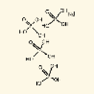 O=P(O)(O)O.O=P(O)(O)O.O=P(O)(O)O.O=P(O)(O)O.[Nd]